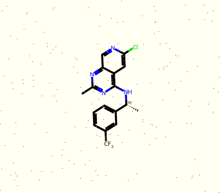 Cc1nc(N[C@H](C)c2cccc(C(F)(F)F)c2)c2cc(Cl)ncc2n1